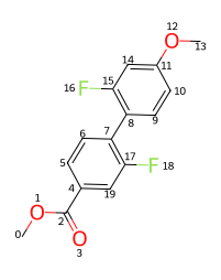 COC(=O)c1ccc(-c2ccc(OC)cc2F)c(F)c1